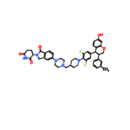 Cc1cccc(C2COc3cc(O)ccc3C2c2cc(F)c(N3CCC(CN4CCN(c5ccc6c(c5)CN(C5CCC(=O)NC5=O)C6=O)CC4)CC3)c(F)c2)c1